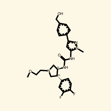 COCCN1C[C@@H](NC(=O)Nc2cc(-c3ccc(CO)cc3)nn2C)[C@H](c2ccc(F)c(F)c2)C1